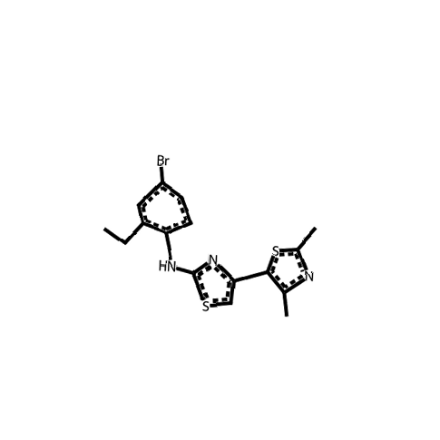 CCc1cc(Br)ccc1Nc1nc(-c2sc(C)nc2C)cs1